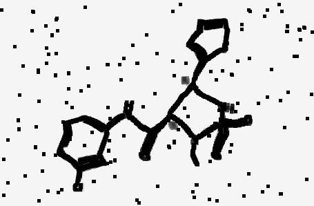 CN1[C@@H](C(=O)Nc2cccc(Cl)c2)C[C@@H](c2cccs2)NS1(=O)=O